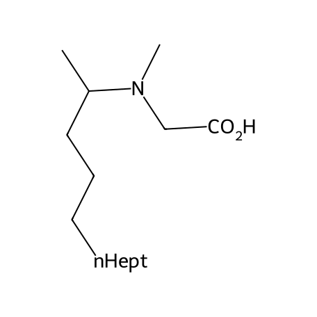 CCCCCCCCCCC(C)N(C)CC(=O)O